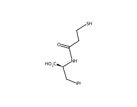 CC(C)C[C@H](NC(=O)CCS)C(=O)O